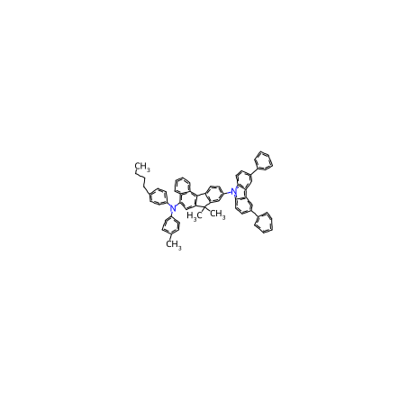 CCCCc1ccc(N(c2ccc(C)cc2)c2cc3c(c4ccccc24)-c2ccc(-n4c5ccc(-c6ccccc6)cc5c5cc(-c6ccccc6)ccc54)cc2C3(C)C)cc1